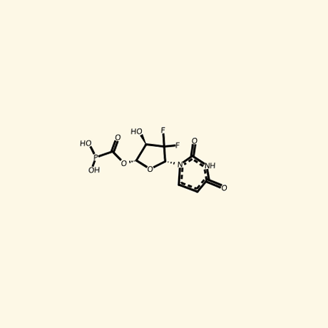 O=C(O[C@H]1O[C@@H](n2ccc(=O)[nH]c2=O)C(F)(F)[C@@H]1O)P(O)O